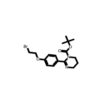 CC(C)(C)OC(=O)N1CCCN=C1c1ccc(OCCBr)cc1